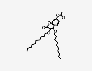 CCCCCCCCCCOc1c(OCCCCCCCCCC)c2ccc(OC(C)=O)cc2oc1=O